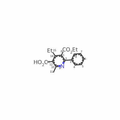 CCOC(=O)c1c(-c2ccccc2)nc(C)c(C(=O)O)c1CC